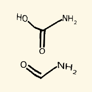 NC(=O)O.NC=O